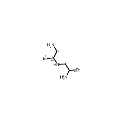 CCC(N)CN[C@@H](CC)CN